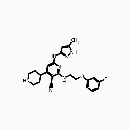 Cc1cc(Nc2cc(C3CCNCC3)c(C#N)c(NCCOc3cccc(F)c3)n2)n[nH]1